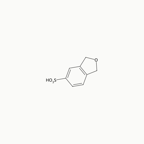 O=S(=O)(O)c1ccc2c(c1)COC2